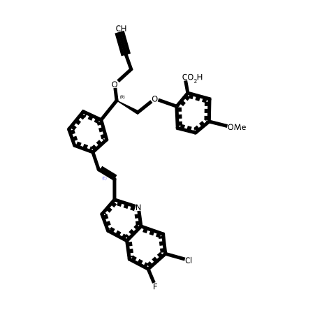 C#CCO[C@@H](COc1ccc(OC)cc1C(=O)O)c1cccc(/C=C/c2ccc3cc(F)c(Cl)cc3n2)c1